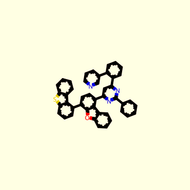 c1ccc(-c2nc(-c3ccccc3-c3cccnc3)cc(-c3ccc(-c4cccc5sc6ccccc6c45)c4oc5ccccc5c34)n2)cc1